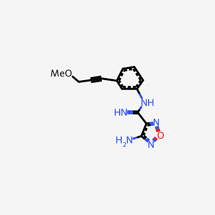 COCC#Cc1cccc(NC(=N)c2nonc2N)c1